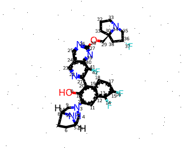 Oc1c(N2C[C@H]3CC[C@@H](C2)N3)cc2c(F)c(F)ccc2c1-c1ncc2cnc(OC[C@@]34CCCN3C[C@H](F)C4)nc2c1F